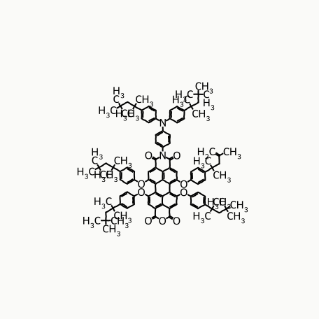 C=C(C)CC(C)(C)c1ccc(Oc2cc3c4c(cc(Oc5ccc(C(C)(C)CC(C)(C)C)cc5)c5c6c(Oc7ccc(C(C)(C)CC(C)(C)C)cc7)cc7c8c(cc(Oc9ccc(C(C)(C)CC(C)(C)C)cc9)c(c2c45)c86)C(=O)OC7=O)C(=O)N(c2ccc(N(c4ccc(C(C)(C)CC(C)(C)C)cc4)c4ccc(C(C)(C)CC(C)(C)C)cc4)cc2)C3=O)cc1